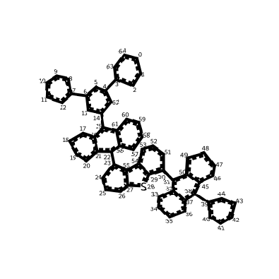 c1ccc(-c2cc(-c3ccccc3)cc(-c3c4ccccc4c(-c4cccc5sc6c(-c7c8ccccc8c(-c8ccccc8)c8ccccc78)cccc6c45)c4ccccc34)c2)cc1